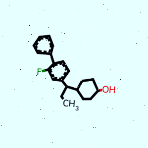 CCC(c1ccc(-c2ccccc2)c(F)c1)C1CCC(O)CC1